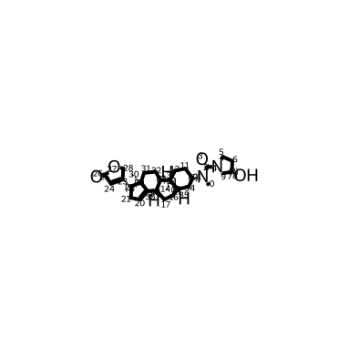 CN(C(=O)N1CC[C@@H](O)C1)[C@H]1CC[C@@]2(C)[C@H](CC[C@H]3C4=CC[C@H](C5=CC(=O)OC5)[C@@]4(C)CC[C@@H]32)C1